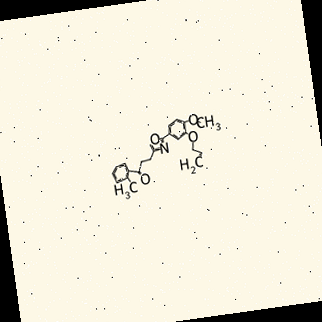 C=CCOc1cc(-c2nc(CCC(=O)c3ccccc3C)co2)ccc1OC